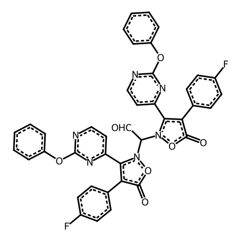 O=CC(n1oc(=O)c(-c2ccc(F)cc2)c1-c1ccnc(Oc2ccccc2)n1)n1oc(=O)c(-c2ccc(F)cc2)c1-c1ccnc(Oc2ccccc2)n1